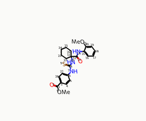 COC(=O)c1ccc(NC(=S)NC2(C(=O)Nc3ccccc3OC)CCCCC2)cc1